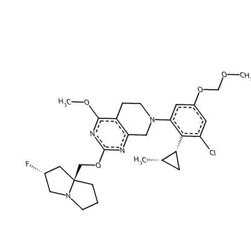 COCOc1cc(Cl)c([C@@H]2C[C@@H]2C)c(N2CCc3c(nc(OC[C@@]45CCCN4C[C@H](F)C5)nc3OC)C2)c1